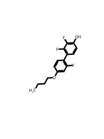 CCCCOc1ccc(-c2ccc(O)c(F)c2F)c(F)c1